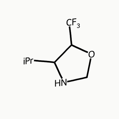 CC(C)C1NCOC1C(F)(F)F